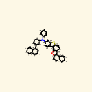 c1ccc(N(c2cccc(-c3cccc4ccccc34)c2)c2ccc3c(c2)sc2ccc4c(oc5ccc6ccccc6c54)c23)cc1